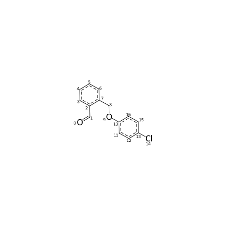 O=Cc1ccccc1COc1ccc(Cl)cc1